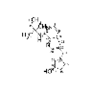 CCC(C)(C)Nc1nccc2cc(CN3CC[C@@H](O)C3)cnc12